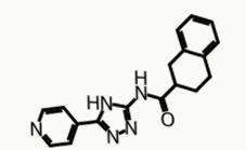 O=C(Nc1nnc(-c2ccncc2)[nH]1)C1CCc2ccccc2C1